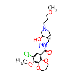 COCCCN1CC[C@@H](CNC(=O)c2cc(Cl)c(OC)c3c2OCCCO3)C(O)C1